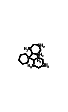 C1CC[Si](C2[SiH2]C[SiH2]C[SiH2]2)(C2[SiH2]C[SiH2]C[SiH2]2)CC1